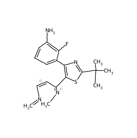 C=N/C=C\C(=N/C)c1sc(C(C)(C)C)nc1-c1cccc(N)c1F